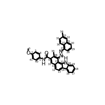 COc1ccc(NC(=O)c2cc3ccc4c5ccccc5[nH]c4c3c(N=Nc3cccc4cc(C)ccc34)c2C)cc1